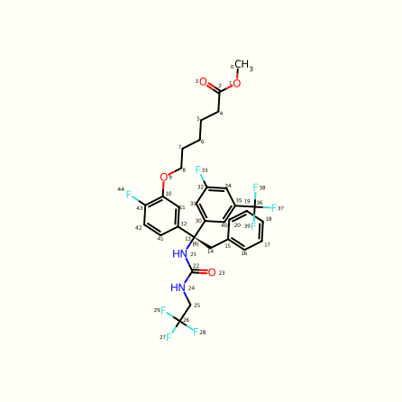 COC(=O)CCCCCOc1cc([C@@](Cc2ccccc2)(NC(=O)NCC(F)(F)F)c2cc(F)cc(C(F)(F)F)c2)ccc1F